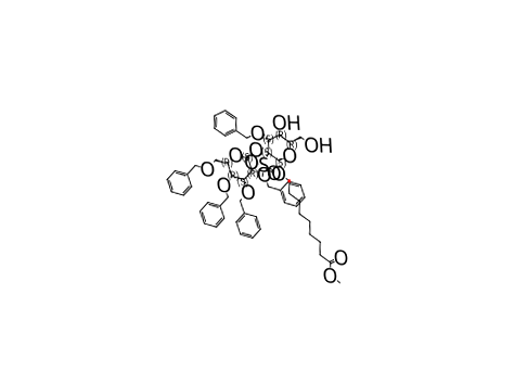 COC(=O)CCCCCCCCO[C@H]1O[C@H](CO)[C@@H](O)[C@H](OCc2ccccc2)[C@]1(O[C@@H]1O[C@H](COCc2ccccc2)[C@@H](OCc2ccccc2)[C@H](OCc2ccccc2)[C@H]1OCc1ccccc1)S(C)(=O)=O